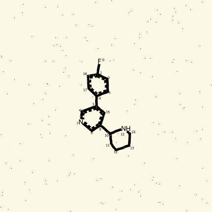 Fc1ccc(-c2cncc(C3CCCCN3)c2)cc1